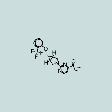 COC(=O)c1ccnc(N2C[C@@H]3[C@H](COc4cccnc4C(F)(F)F)[C@@H]3C2)n1